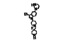 CCc1cn(C2CCN(CC3(F)CCNCC3)CC2)c2ccc(N3C=CCNC3)cc12